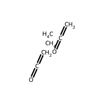 C.C.C=C=O.C=C=O